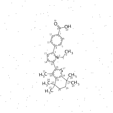 CCn1c(-c2ccc(C(=O)O)cc2)ccc1-c1sc2c(c1C)C(C)(C)CCC2(C)C